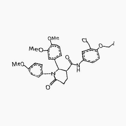 COc1ccc(N2C(=O)CCC(C(=O)Nc3ccc(OCI)c(Cl)c3)C2c2ccc(OC)c(OC)c2)cc1